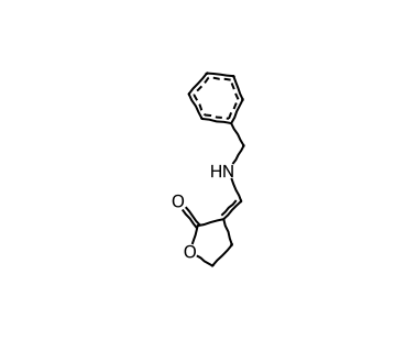 O=C1OCCC1=CNCc1ccccc1